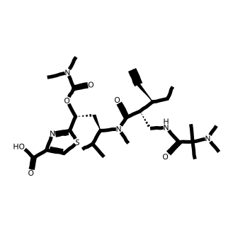 C#C[C@@H](CC)[C@H](CNC(=O)C(C)(C)N(C)C)C(=O)N(C)[C@H](C[C@@H](OC(=O)N(C)C)c1nc(C(=O)O)cs1)C(C)C